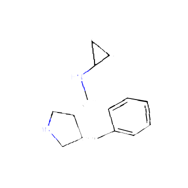 c1ccc(C[C@@H]2CNC[C@@H]2CNC2CC2)cc1